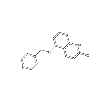 O=c1ccc2c(OCc3ccncc3)cccc2[nH]1